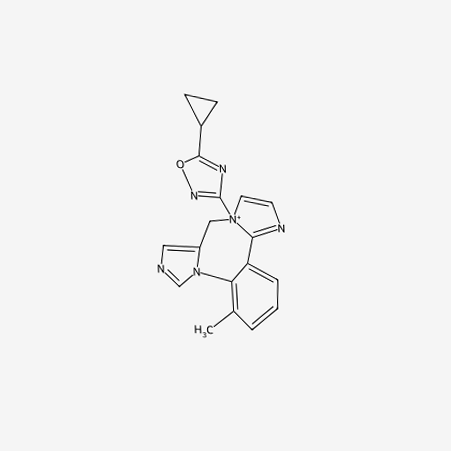 Cc1cccc2c1-n1cncc1C[N+]1(c3noc(C4CC4)n3)C=CN=C21